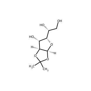 CC1(C)O[C@@H]2O[C@@H]([C@H](O)CO)[C@@H](O)[C@@H]2O1